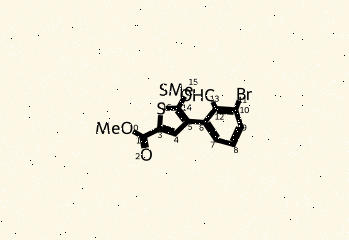 COC(=O)c1cc(-c2cccc(Br)c2C=O)c(SC)s1